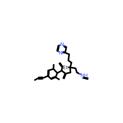 C=CNCCC(CC)(CCCc1cnccn1)CC(=C)C(C=C)C1C(C)=CC(C#CC)=CC1C